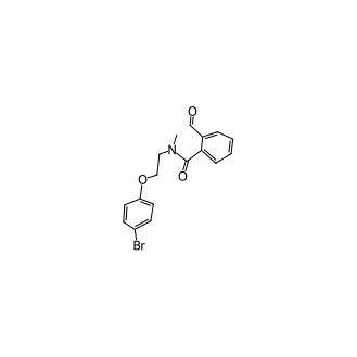 CN(CCOc1ccc(Br)cc1)C(=O)c1ccccc1C=O